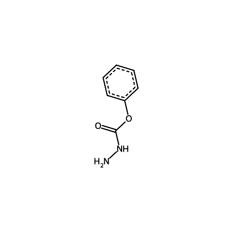 NNC(=O)Oc1ccccc1